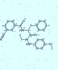 CCN(Nc1ccc(OC)cc1)C(=O)C(Cc1ccccc1)NC(=O)c1cccc(C#N)c1